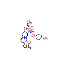 Cc1ccc2n(c1=O)[C@@H](COC1CCC(C(C)C)CC1)[C@@H](NS(C)(=O)=O)CC2